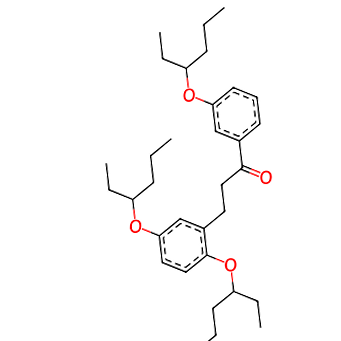 CCCC(CC)Oc1cccc(C(=O)CCc2cc(OC(CC)CCC)ccc2OC(CC)CCC)c1